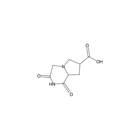 O=C1CN2CC(C(=O)O)CC2C(=O)N1